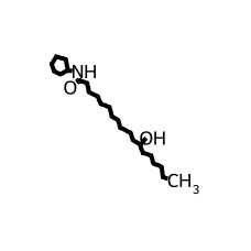 CCCCCCC(O)CCCCCCCCCCC(=O)NC1CCCCC1